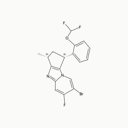 C[C@@H]1C[C@H](c2ccccc2OC(F)F)c2c1nc1cc(F)c(Br)cn21